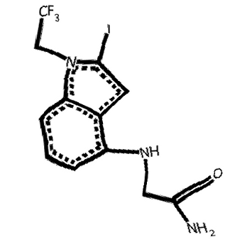 NC(=O)CNc1cccc2c1cc(I)n2CC(F)(F)F